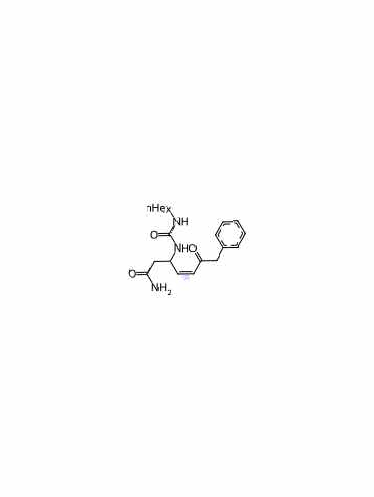 CCCCCCNC(=O)NC(/C=C\C(=O)Cc1ccccc1)CC(N)=O